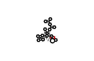 C=C1/C=C\C=C/Cc2ccccc2C12c1ccccc1-c1ccc(-c3ccc(-c4ccc5c(c4)C4(c6ccccc6-c6ccccc64)c4ccccc4-5)c4nc(-c5ccccc5)c(-c5ccc(N(c6ccccc6)c6ccc(N(c7ccccc7)c7ccccc7)cc6)cc5)nc34)cc12